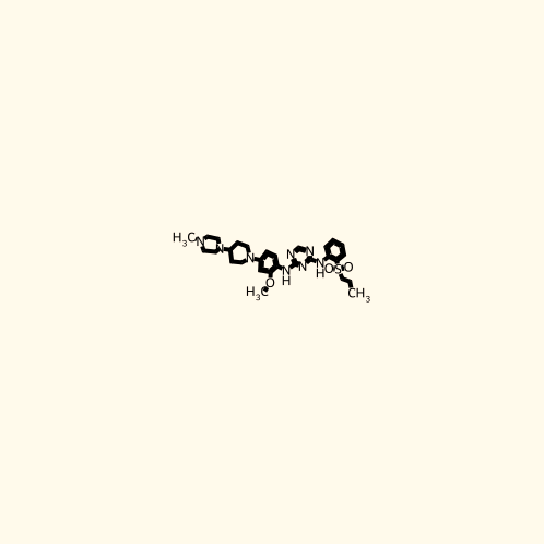 CCCS(=O)(=O)c1ccccc1Nc1ncnc(Nc2ccc(N3CCC(N4CCN(C)CC4)CC3)cc2OC)n1